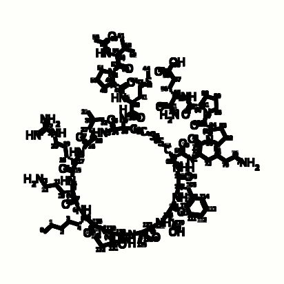 CCCCC[C@@H]1NC(=O)[C@H](CCCN)NC(=O)[C@H](CCCNC(=N)N)NC(=O)[C@H](CC(C)C)NC(=O)C(NC(=O)[C@H](CCSC)NC(=O)[C@@H]2CCCN2C(=O)[C@@H](NC(C)=O)C(C)C)CCSSC[C@@H](C(=O)NC(CCCCN)C(=O)N2CCC[C@H]2C(=O)N2CCC[C@H]2C(=O)N[C@@H](CCC(=O)O)C(N)=O)NC(=O)[C@H](Cc2ccccc2)NC(=O)[C@H](CO)NC(=O)C(C)(C)NC(=O)[C@@H]2CCCN2C1=O